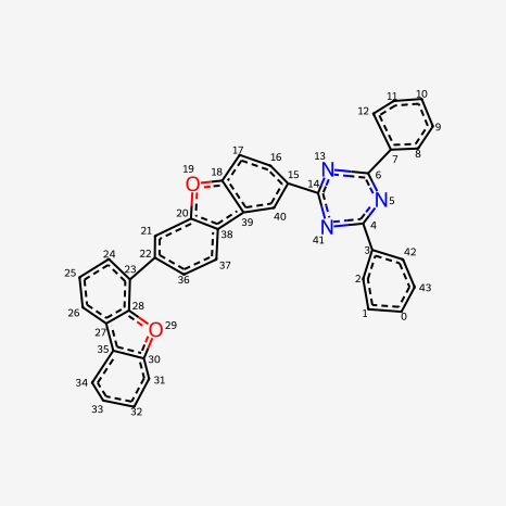 c1ccc(-c2nc(-c3ccccc3)nc(-c3ccc4oc5cc(-c6cccc7c6oc6ccccc67)ccc5c4c3)n2)cc1